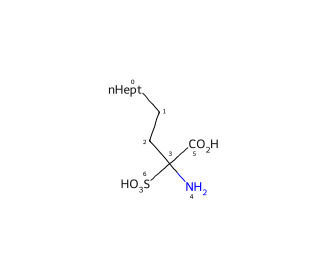 CCCCCCCCCC(N)(C(=O)O)S(=O)(=O)O